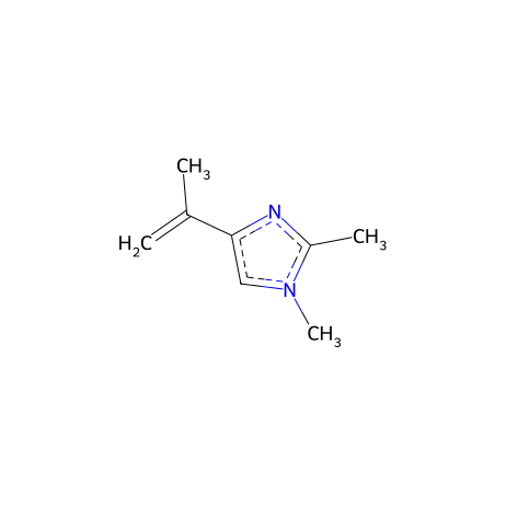 C=C(C)c1cn(C)c(C)n1